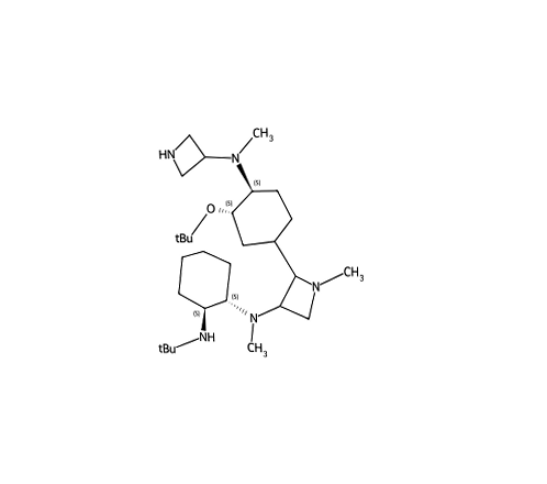 CN1CC(N(C)[C@H]2CCCC[C@@H]2NC(C)(C)C)C1C1CC[C@H](N(C)C2CNC2)[C@@H](OC(C)(C)C)C1